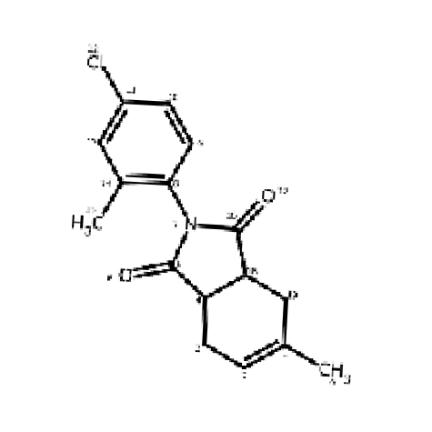 CC1=CCC2C(=O)N(c3ccc(Cl)cc3C)C(=O)C2C1